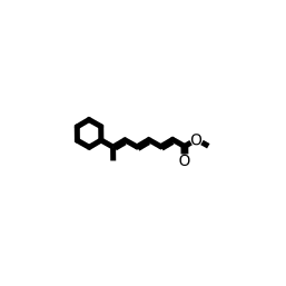 COC(=O)C=CC=CC=C(C)C1CCCCC1